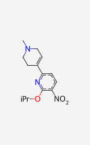 CC(C)Oc1nc(C2=CCN(C)CC2)ccc1[N+](=O)[O-]